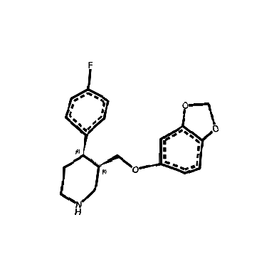 Fc1ccc([C@@H]2CCNC[C@@H]2COc2ccc3c(c2)OCO3)cc1